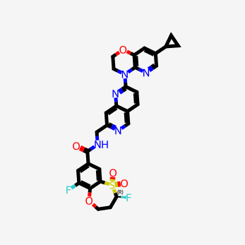 O=C(NCc1cc2nc(N3CCOc4cc(C5CC5)cnc43)ccc2cn1)c1cc(F)c2c(c1)S(=O)(=O)[C@@H](F)CCO2